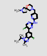 Cc1nc2c(F)cc(-c3nc(Nc4ccc(CN5CCO[C@@]6(CCN(C)C6)C5)cn4)ncc3F)cc2n1C(C)C